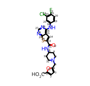 O=C(O)c1ccc(CN2CCC(NC(=O)c3cc4c(Nc5ccc(F)c(Cl)c5)ncnc4s3)CC2)o1